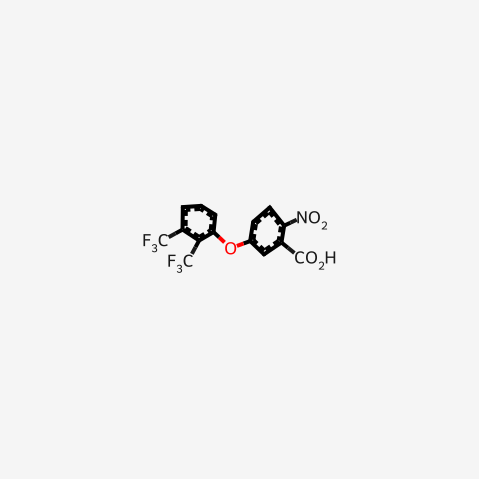 O=C(O)c1cc(Oc2cccc(C(F)(F)F)c2C(F)(F)F)ccc1[N+](=O)[O-]